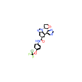 O=C(Nc1ccc(OC(F)(F)Cl)cc1)c1cc(-c2cncnc2)c2c(c1)ncn2[C@@H]1CCOC1